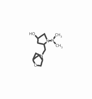 CN(C)N1CC(O)CC1CN1CC2CC1CO2